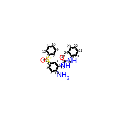 Nc1ccc([S+]([O-])c2ccccc2)cc1NC(=O)Nc1ccccc1